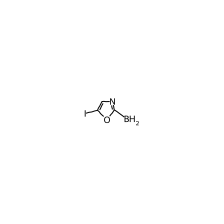 Bc1ncc(I)o1